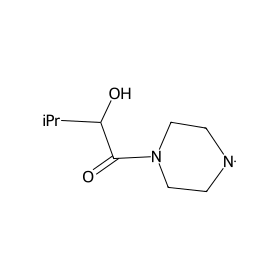 CC(C)C(O)C(=O)N1CC[N]CC1